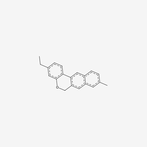 CCc1ccc2c(c1)OCc1cc3cc(C)ccc3cc1-2